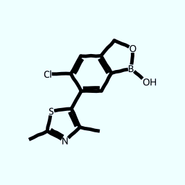 Cc1nc(C)c(-c2cc3c(cc2Cl)COB3O)s1